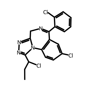 CCC(Cl)c1nnc2n1-c1ccc(Cl)cc1C(c1ccccc1Cl)=NC2